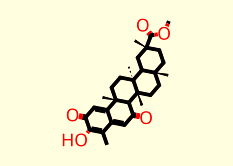 COC(=O)[C@]1(C)CC[C@]2(C)CC[C@]3(C)C4C(=O)C=C5C(=CC(=O)C(O)=C5C)[C@]4(C)CC[C@@]3(C)C2C1